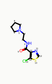 O=C(NCCN1CCCC1)c1ncsc1Cl